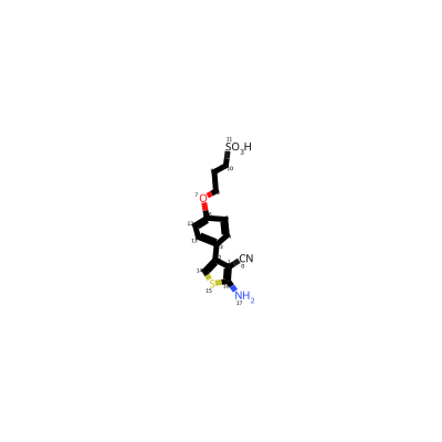 N#Cc1c(-c2ccc(OCCCS(=O)(=O)O)cc2)csc1N